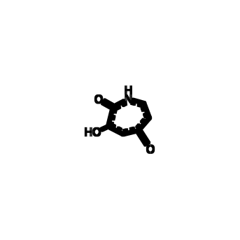 O=c1cc[nH]c(=O)c(O)c1